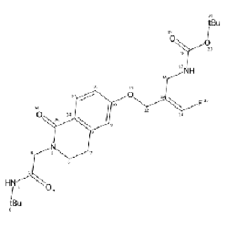 CC(C)(C)NC(=O)CN1CCc2cc(OC/C(=C/F)CNC(=O)OC(C)(C)C)ccc2C1=O